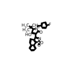 CC(C)(C)C1C(O)=C(C2=NS(=O)(=O)c3c2ccc2ccccc32)C(=O)N1Cc1ccc(F)cc1